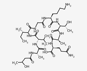 CC[C@H](C)[C@H](NC(=O)[C@@H](NC(=O)[C@H](C)NC(=O)CC(C)O)C(C)C)C(=O)NCC(=O)N[C@@H](CCCCN)C(=O)N[C@H](C(=O)N[C@@H](C)C(=O)N[C@@H](CCC(N)=O)C(=O)O)[C@@H](C)O